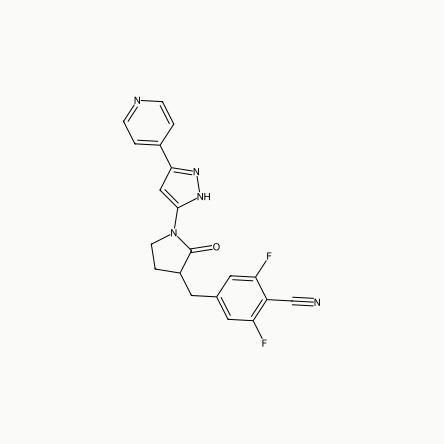 N#Cc1c(F)cc(CC2CCN(c3cc(-c4ccncc4)n[nH]3)C2=O)cc1F